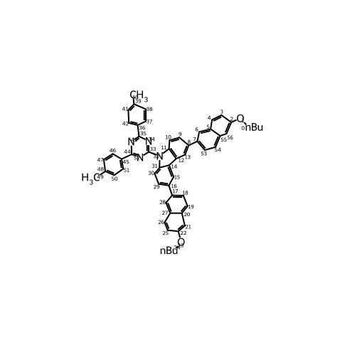 CCCCOc1ccc2cc(-c3ccc4c(c3)c3cc(-c5ccc6cc(OCCCC)ccc6c5)ccc3n4-c3nc(-c4ccc(C)cc4)nc(-c4ccc(C)cc4)n3)ccc2c1